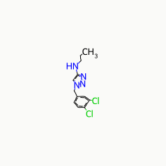 CCCNc1cn(Cc2ccc(Cl)c(Cl)c2)nn1